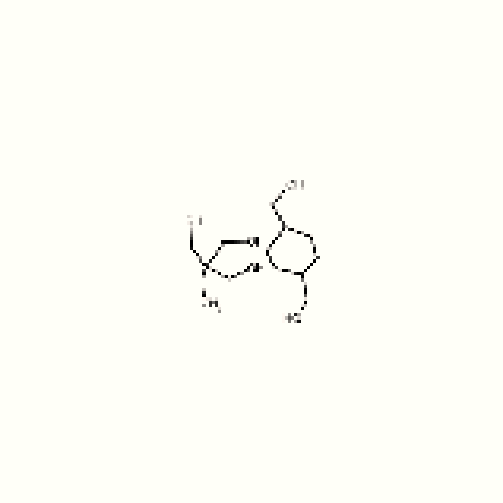 CCC(CO)(CO)CO.OCC1CCC(CO)CC1